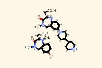 CN1Cc2cc(Br)ccc2N(C)[C@@H](CC(=O)O)C1=O.CN1Cc2cc(N3CCC(C4CCNCC4)CC3)ccc2N[C@H](CC(=O)O)C1=O